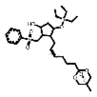 CC[Si](CC)(CC)OC1CC(O)C(CS(=O)(=O)c2ccccc2)C1C/C=C\CCCC12OCC(C)(CO1)CO2